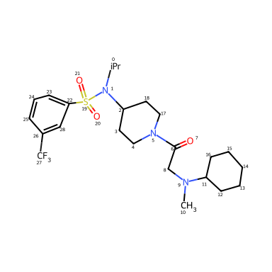 CC(C)N(C1CCN(C(=O)CN(C)C2CCCCC2)CC1)S(=O)(=O)c1cccc(C(F)(F)F)c1